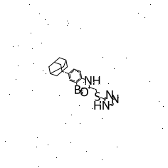 O=C(CSc1nnc[nH]1)Nc1ccc(C23CC4CC(CC(C4)C2)C3)cc1Br